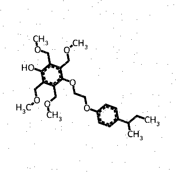 CCC(C)c1ccc(OCCOc2c(COC)c(COC)c(O)c(COC)c2COC)cc1